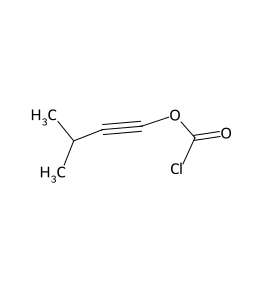 CC(C)C#COC(=O)Cl